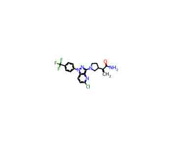 C=C(C(N)=O)C1CCN(c2nn(-c3ccc(C(F)(F)F)cc3)c3ccc(Cl)nc23)C1